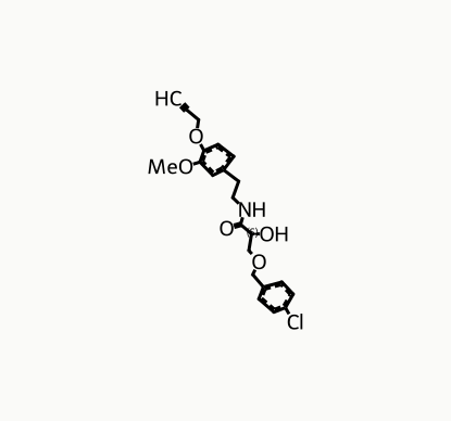 C#CCOc1ccc(CCNC(=O)[C@@H](O)COCc2ccc(Cl)cc2)cc1OC